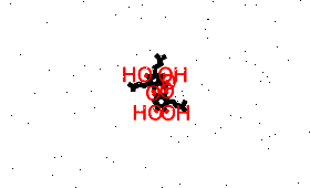 CC(C)=CCc1c(O)c(CC=C(C)C)c2c(c1O)C(=O)Oc1c(cc(O)c(O)c1CC=C(C)C)O2